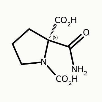 NC(=O)[C@]1(C(=O)O)CCCN1C(=O)O